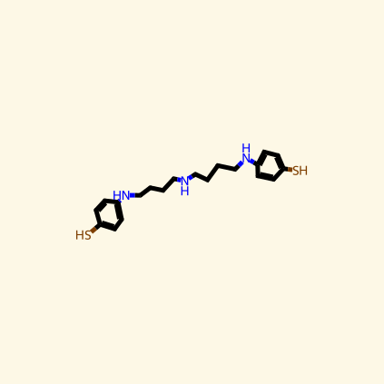 Sc1ccc(NCCCCNCCCCNc2ccc(S)cc2)cc1